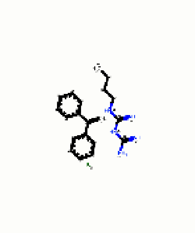 C=C(c1ccccc1)c1ccccc1.CCCCNC(=N)NC(=N)N.Cl